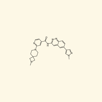 CN1CC2(CCN(c3cc(C(=O)Nc4cc5cc(-c6cnn(C)c6)ccc5nn4)ccn3)CC2)C1